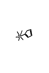 [CH3][Zr]([CH3])([CH3])([CH3])([CH3])[C]1=CC=CC1